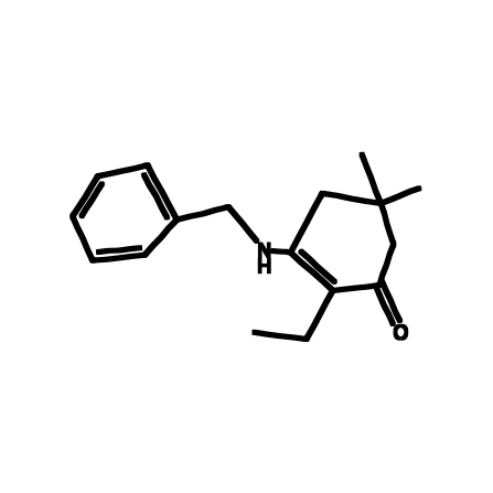 CCC1=C(NCc2ccccc2)CC(C)(C)CC1=O